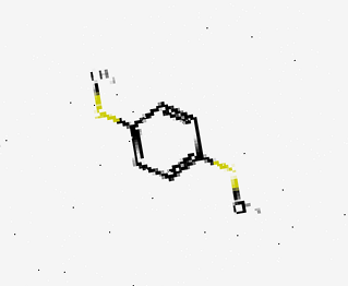 CSc1ccc(SC)cc1